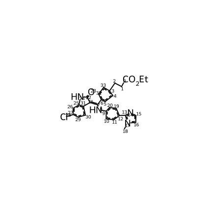 CCOC(=O)CCc1ccc(C(Nc2ccc(-c3nccn3C)cc2)=C2C(=O)Nc3cc(Cl)ccc32)cc1